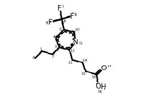 CCCc1cc(C(F)(F)F)cnc1CCCC(=O)O